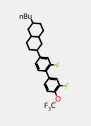 CCCCC1CCC2CC(c3ccc(-c4ccc(OC(F)(F)F)c(F)c4)c(F)c3)CCC2C1